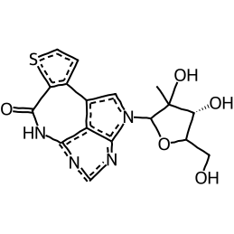 CC1(O)C(n2cc3c4c(ncnc42)NC(=O)c2sccc2-3)OC(CO)[C@H]1O